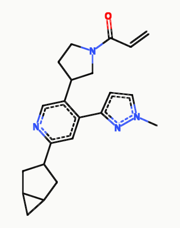 C=CC(=O)N1CCC(c2cnc(C3CC4CC4C3)cc2-c2ccn(C)n2)C1